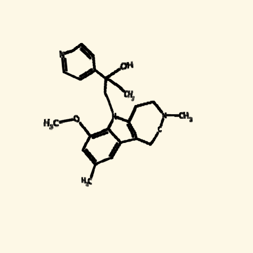 COc1cc(C)cc2c3c(n(CC(C)(O)c4ccncc4)c12)CCN(C)CC3